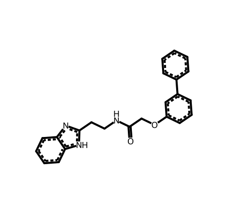 O=C(COc1cccc(-c2ccccc2)c1)NCCc1nc2ccccc2[nH]1